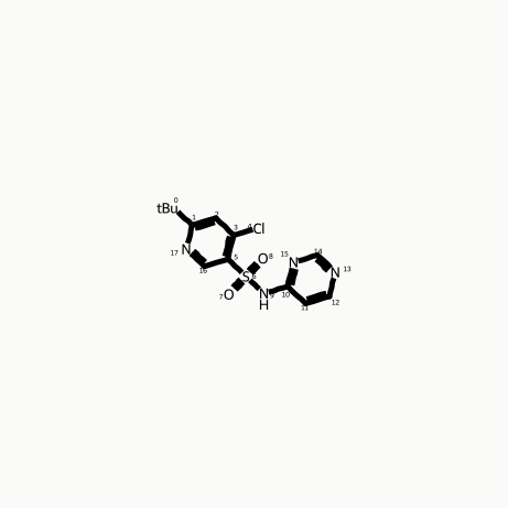 CC(C)(C)c1cc(Cl)c(S(=O)(=O)Nc2ccncn2)cn1